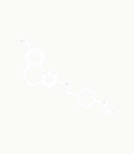 COc1ccc2c(c1)CCCc1sc(NCC3CCC(NC(=O)O)CC3)nc1-2